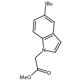 COC(=O)Cn1ccc2cc(C(C)(C)C)ccc21